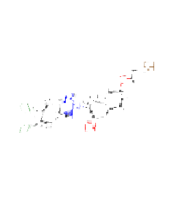 Oc1cc2ccc(OCCS)cc2cc1-n1nc2cc(Cl)c(Cl)cc2n1